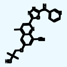 Cc1cc(-c2nnc(Nc3cccnc3)o2)nc2c(C(C)(C)C)cc(OCC(C)(C)O)cc12